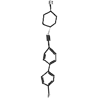 CC[C@H]1CC[C@H](C#Cc2ccc(-c3ccc(F)cc3)cc2)CC1